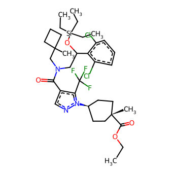 CCOC(=O)[C@]1(C)CC[C@@H](n2ncc(C(=O)N(CC(O[Si](CC)(CC)CC)c3c(Cl)cccc3Cl)CC3(C)CCC3)c2C(F)(F)F)CC1